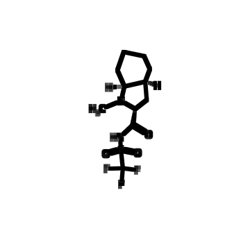 CN1[C@H](C(=O)NS(=O)(=O)C(F)(F)F)C[C@@H]2CCCC[C@@H]21